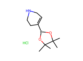 CC1(C)OB(C2=CCNCC2)OC1(C)C.Cl